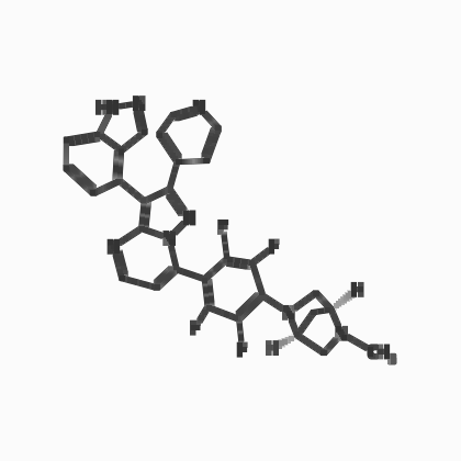 CN1C[C@@H]2C[C@H]1CN2c1c(F)c(F)c(-c2ccnc3c(-c4cccc5[nH]ncc45)c(-c4ccncc4)nn23)c(F)c1F